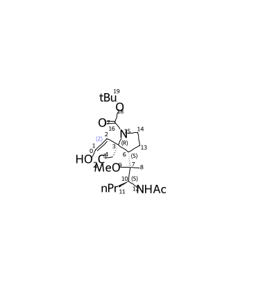 C/C=C\[C@]1(CC(=O)O)[C@@H](C(C)(OC)[C@H](CCC)NC(C)=O)CCN1C(=O)OC(C)(C)C